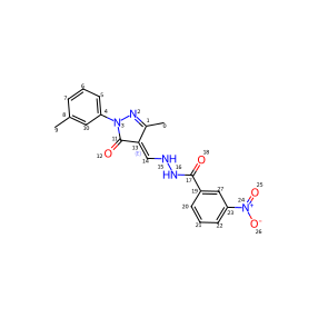 CC1=NN(c2cccc(C)c2)C(=O)/C1=C/NNC(=O)c1cccc([N+](=O)[O-])c1